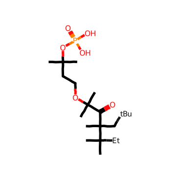 CCC(C)(C)C(C)(CC(C)(C)C)C(=O)C(C)(C)OCCC(C)(C)OP(=O)(O)O